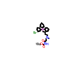 CN(CCCC[P+](c1ccccc1)(c1ccccc1)c1ccccc1)CCC(=O)NC(=O)OC(C)(C)C.[Br-]